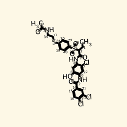 CCC(C(=O)Nc1cc(O)c(NC(=O)c2ccc(Cl)c(Cl)c2)cc1Cl)S(=O)(=O)c1ccc(SCCNC(C)=O)cc1